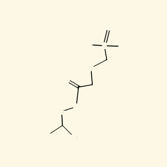 CC(C)NOC(=O)CNCP(=O)(O)O